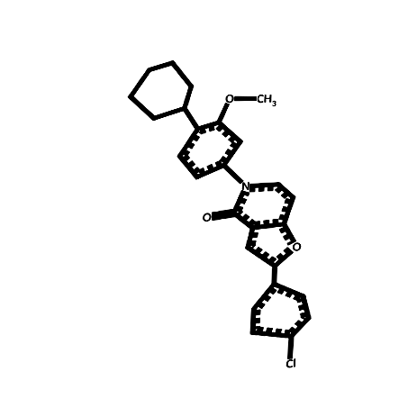 COc1cc(-n2ccc3oc(-c4ccc(Cl)cc4)cc3c2=O)ccc1C1CCCCC1